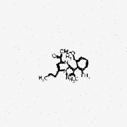 CCCc1cc(C(=O)O)nc2c(-c3c(C)cccc3COC)c(C)nn12